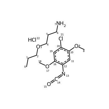 CCCOCCCN.COc1cc(N=C=O)c(OC)cc1Cl.Cl